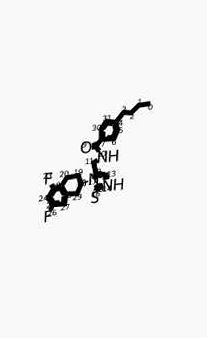 CCCCc1ccc(C(=O)NCc2c[nH]c(=S)n2[C@H]2CCc3c(F)cc(F)cc3C2)cc1